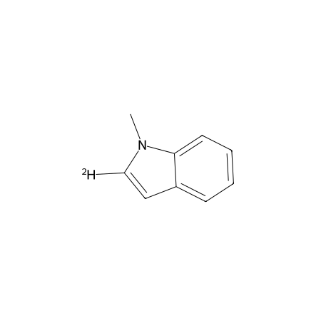 [2H]c1cc2ccccc2n1C